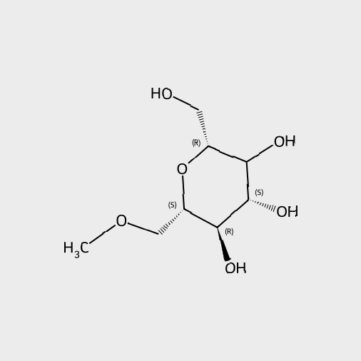 COC[C@@H]1O[C@H](CO)C(O)[C@H](O)[C@H]1O